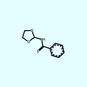 S=C(NC1OCCO1)c1ccccc1